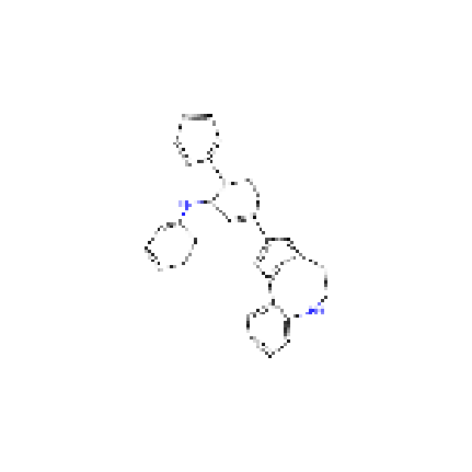 C1=CCCC(NC2C=C(c3cc4cc(c3)-c3ccccc3NCC4)CCC2c2ccccc2)=C1